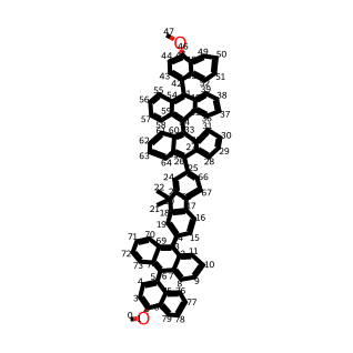 COc1ccc(-c2c3ccccc3c(-c3ccc4c(c3)C(C)(C)c3cc(-c5c6ccccc6c(-c6c7ccccc7c(-c7ccc(OC)c8ccccc78)c7ccccc67)c6ccccc56)ccc3-4)c3ccccc23)c2ccccc12